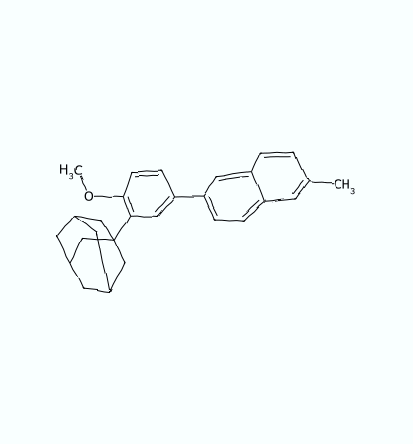 COc1ccc(-c2ccc3cc(C)ccc3c2)cc1C12CC3CC(CC(C3)C1)C2